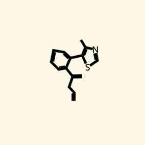 C=CCC(=C)c1ccccc1-c1scnc1C